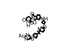 CC(=O)c1ncc(Oc2ccc(C(C)(C)c3ccc(O[C@H]4C[C@H](Nc5ccc6c(c5)C(=O)N(C5CCC(=O)NC5=O)C6=O)C4)cn3)cc2)cn1